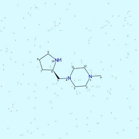 CN1CCN(C[C@H]2CCCN2)CC1